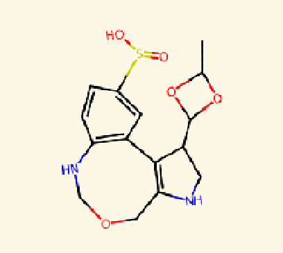 CC1OC(C2CNC3=C2c2cc(S(=O)O)ccc2NCOC3)O1